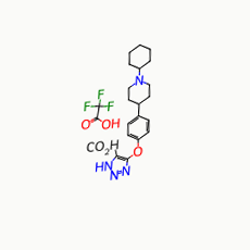 O=C(O)C(F)(F)F.O=C(O)c1[nH]nnc1Oc1ccc(C2CCN(C3CCCCC3)CC2)cc1